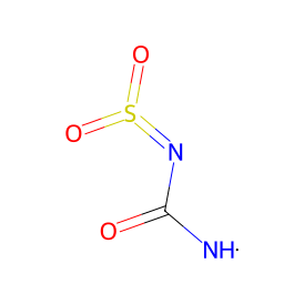 [NH]C(=O)N=S(=O)=O